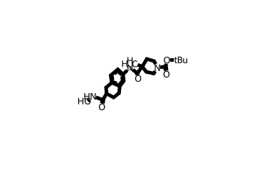 CC(C)(C)OC(=O)N1CCC(C)(C(=O)Nc2ccc3c(c2)CCC(C(=O)NO)C3)CC1